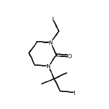 CC(C)(CI)N1CCCN(CI)C1=O